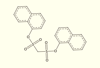 O=S(=O)(CS(=O)(=O)Oc1cccc2ccccc12)Oc1cccc2ccccc12